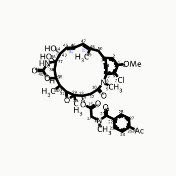 COc1cc2cc(c1Cl)N(C)C(=O)C[C@H](OC(=O)CN(C)C(=O)c1ccc(C(C)=O)cc1)C1(C)OC1C(C)[C@@H]1C[C@@](O)(NC(=O)O1)[C@H](O)/C=C/C=C(\C)C2